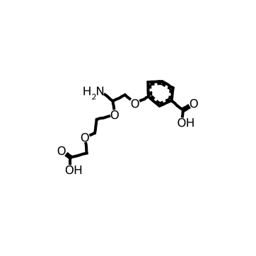 NC(COc1cccc(C(=O)O)c1)OCCOCC(=O)O